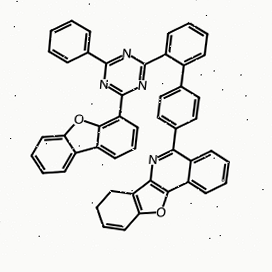 C1=Cc2oc3c(nc(-c4ccc(-c5ccccc5-c5nc(-c6ccccc6)nc(-c6cccc7c6oc6ccccc67)n5)cc4)c4ccccc43)c2CC1